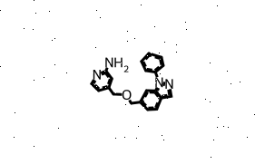 Nc1cc(COCc2ccc3cnn(-c4ccccc4)c3c2)ccn1